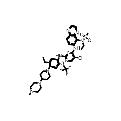 CCc1cc(Nc2ncc(Cl)c(Nc3ccc4nccnc4c3N(CC)S(C)(=O)=O)n2)c(OC(F)(F)F)cc1N1CCC(N2CCN(C)CC2)CC1